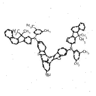 Cc1cc(C)cc(N(c2ccc3c(c2)C(C)(C)c2c-3ccc3ccccc23)c2ccc3c(c2)oc2c4cc(C(C)(C)C)cc5c6sc7cc(N(c8cc(C)cc(C)c8)c8ccc9c(c8)C(C)(C)c8c-9ccc9ccccc89)ccc7c6n(c45)c32)c1